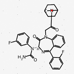 NC(=O)N(c1cccc(F)c1)[C@H]1N=C(c2ccccc2F)c2ccccc2N(CC(=O)N2CC3CCC(CC3)C2)C1=O